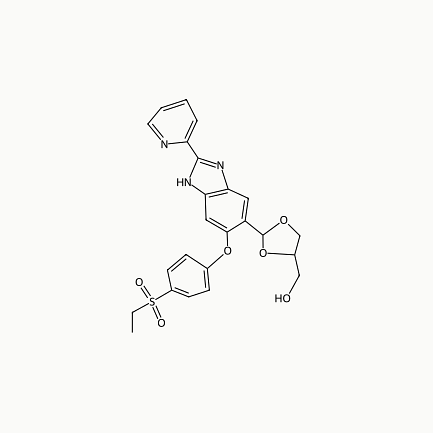 CCS(=O)(=O)c1ccc(Oc2cc3[nH]c(-c4ccccn4)nc3cc2C2OCC(CO)O2)cc1